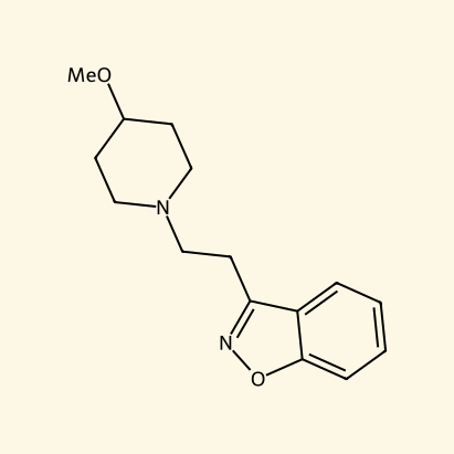 COC1CCN(CCc2noc3ccccc23)CC1